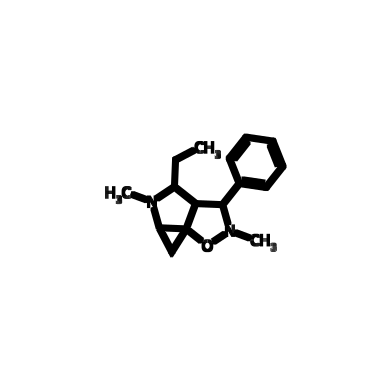 CCC1C2C(c3ccccc3)N(C)OC23CC3N1C